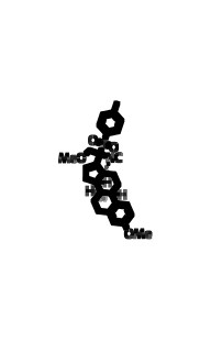 [C-]#[N+]C(COC)(C1=CC[C@H]2[C@@H]3CCc4cc(OC)ccc4[C@H]3CC[C@]12C)S(=O)(=O)c1ccc(C)cc1